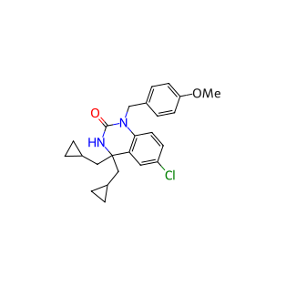 COc1ccc(CN2C(=O)NC(CC3CC3)(CC3CC3)c3cc(Cl)ccc32)cc1